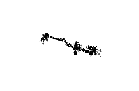 Cc1c(S(C)(=O)=O)c(-c2cc(F)cc(N3CCN(c4ccc(N[S+]([O-])c5ccc(N[C@H](CCN6CCC(OCCCn7cc(COCCOCCOCCNc8cccc9c8C(=O)N(C8CCC(=O)NC8=O)C9=O)nn7)CC6)CSc6ccccc6)c(S(=O)(=O)C(F)(F)F)c5)cc4)CC3)c2)c(-c2ccc(Cl)cc2)n1C(C)C